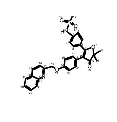 CC1(C)OC(c2ccc(NS(C)(=O)=O)cc2)=C(c2ccc(OCc3ccc4ccccc4n3)cc2)C1=O